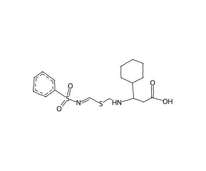 O=C(O)CC(NCSC=NS(=O)(=O)c1ccccc1)C1CCCCC1